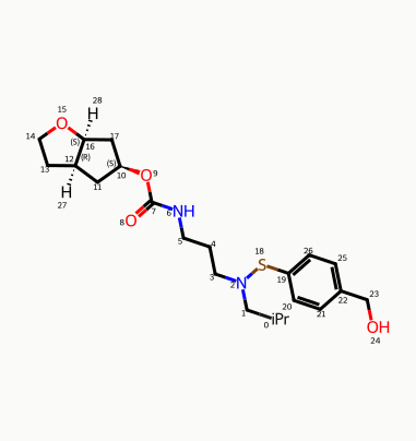 CC(C)CN(CCCNC(=O)O[C@H]1C[C@H]2CCO[C@H]2C1)Sc1ccc(CO)cc1